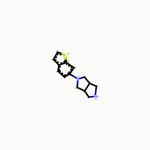 c1cc2ccc(N3CC4CNCC4C3)cc2s1